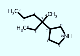 CCCC(C)(CC)C1CCNC1